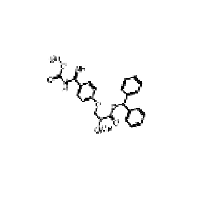 COC(COc1ccc(C(=N)NC(=O)OC(C)(C)C)cc1)C(=O)OC(c1ccccc1)c1ccccc1